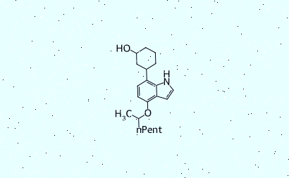 CCCCCC(C)Oc1ccc(C2CCCC(O)C2)c2[nH]ccc12